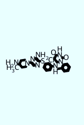 CC1(N)CCN(c2cnc(Sc3cccc(NCc4ccccc4N4CCC(=O)NC4=O)c3Cl)c(N)n2)CC1